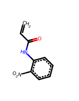 C=CC(=O)Nc1ccccc1[N+](=O)[O-]